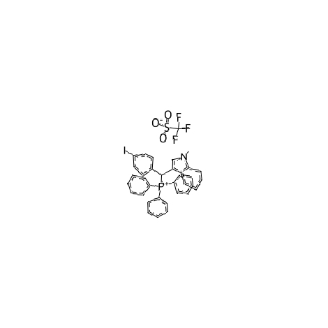 Cn1cc(C(c2ccc(I)cc2)[P+](c2ccccc2)(c2ccccc2)c2ccccc2)c2ccccc21.O=S(=O)([O-])C(F)(F)F